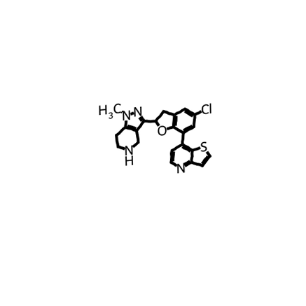 Cn1nc(C2Cc3cc(Cl)cc(-c4ccnc5ccsc45)c3O2)c2c1CCNC2